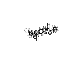 O=C(Nc1nc2ccc(NS(=O)(=O)c3ccc(Cl)s3)cc2s1)c1ccco1